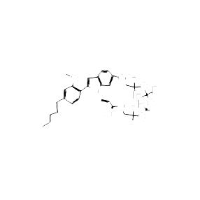 C=CC(=O)OCC(F)(F)OC(F)(F)OC(F)(F)OC(F)(F)COc1ccc2cc(-c3ccc(CCCCC)cc3OC)oc2c1